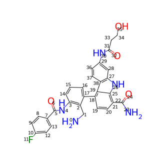 NCc1c(NC(=O)c2ccc(F)cc2)cccc1-c1ccc(C(N)=O)c2[nH]c3cc(NC(=O)CCO)ccc3c12